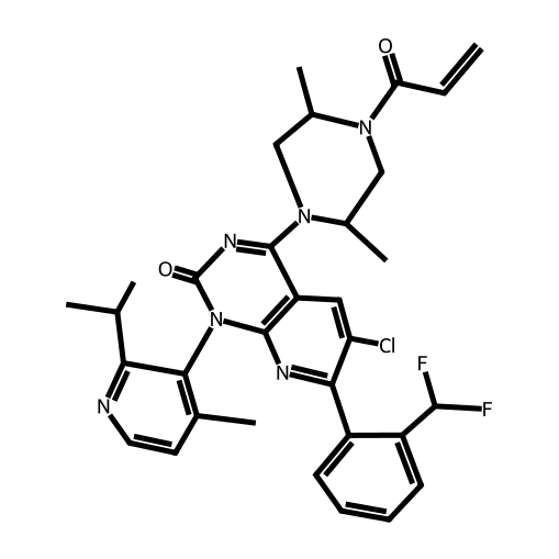 C=CC(=O)N1CC(C)N(c2nc(=O)n(-c3c(C)ccnc3C(C)C)c3nc(-c4ccccc4C(F)F)c(Cl)cc23)CC1C